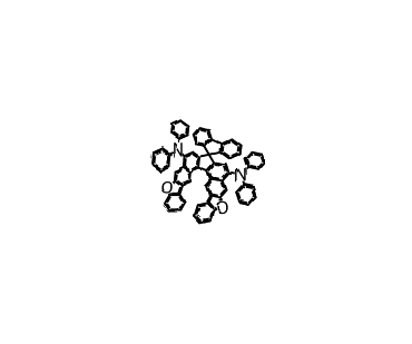 c1ccc(N(c2ccccc2)c2cc3c(c4cc5c(cc24)oc2ccccc25)-c2c(cc(N(c4ccccc4)c4ccccc4)c4cc5oc6ccccc6c5cc24)C32c3ccccc3-c3ccccc32)cc1